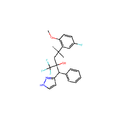 COc1ccc(F)cc1C(C)(C)CC(O)(C(c1ccccc1)c1cc[nH]n1)C(F)(F)F